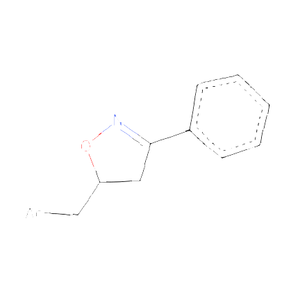 CC(=O)CC1CC(c2ccccc2)=NO1